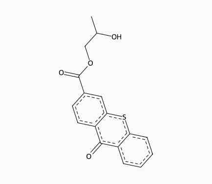 CC(O)COC(=O)c1ccc2c(=O)c3ccccc3sc2c1